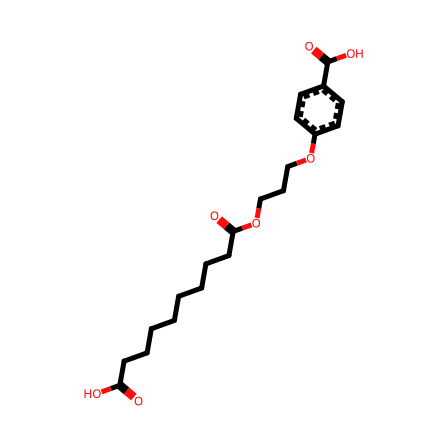 O=C(O)CCCCCCCCC(=O)OCCCOc1ccc(C(=O)O)cc1